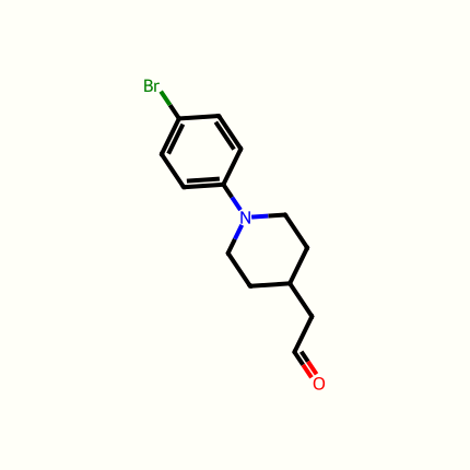 O=CCC1CCN(c2ccc(Br)cc2)CC1